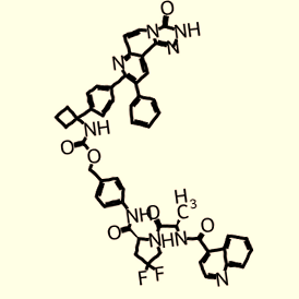 C[C@@H](NC(=O)c1ccnc2ccccc12)C(=O)N1CC(F)(F)C[C@H]1C(=O)Nc1ccc(COC(=O)NC2(c3ccc(-c4nc5ccn6c(=O)[nH]nc6c5cc4-c4ccccc4)cc3)CCC2)cc1